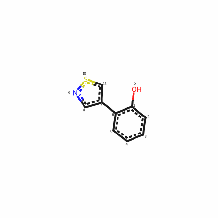 Oc1ccccc1-c1cnsc1